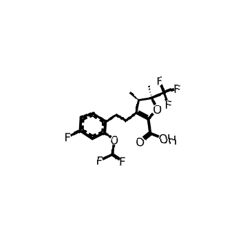 C[C@@H]1C(CCc2ccc(F)cc2OC(F)F)=C(C(=O)O)O[C@]1(C)C(F)(F)F